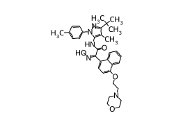 Cc1ccc(-n2nc(C(C)(C)C)c(C)c2NC(=O)/C(=N\O)c2ccc(OCCN3CCOCC3)c3ccccc23)cc1